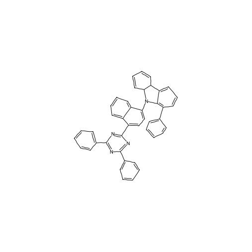 C1=CC2c3cccc(-c4ccccc4)c3N(c3ccc(-c4nc(-c5ccccc5)nc(-c5ccccc5)n4)c4ccccc34)C2C=C1